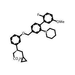 COc1ccc(F)c(-c2ccc(COc3cccc([C@H](CC(=O)O)CC4CC4)c3)cc2N2CCCCC2)c1